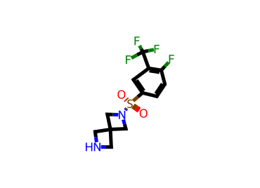 O=S(=O)(c1ccc(F)c(C(F)(F)F)c1)N1CC2(CNC2)C1